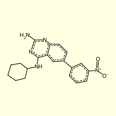 Nc1nc(NC2CCCCC2)c2cc(-c3cccc([N+](=O)[O-])c3)ccc2n1